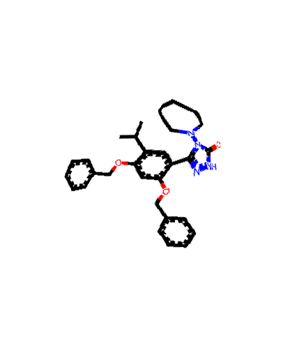 CC(C)c1cc(-c2n[nH]c(=O)n2N2CCCCC2)c(OCc2ccccc2)cc1OCc1ccccc1